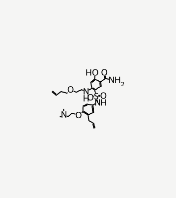 C=CCCOCCNc1cc(O)c(C(N)=O)cc1S(=O)(=O)Nc1ccc(OCCN(C)C)c(CC=C)c1